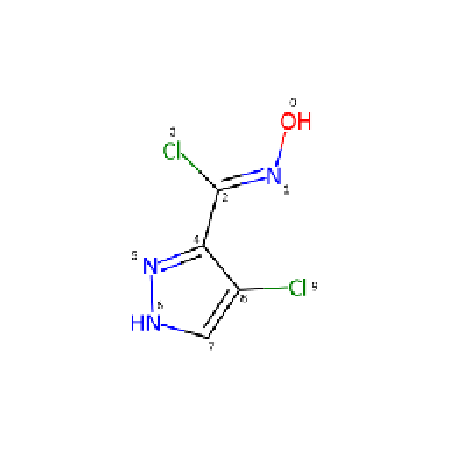 O/N=C(\Cl)c1n[nH]cc1Cl